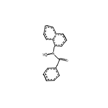 O=C(c1ccccc1)N(O)c1cccc2ccccc12